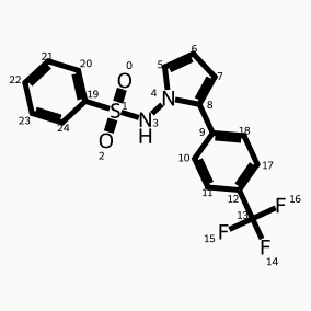 O=S(=O)(Nn1cccc1-c1ccc(C(F)(F)F)cc1)c1ccccc1